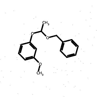 COc1cc[c]c(OC(C)OCc2ccccc2)c1